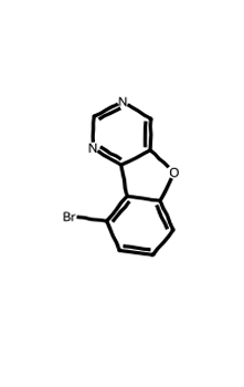 Brc1cccc2oc3cncnc3c12